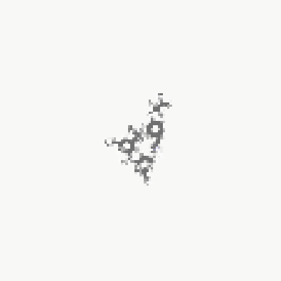 FC(F)C(F)(F)Oc1ccc(/C=N/Nc2cc(Nc3cc(C(F)(F)F)cc(Cl)n3)nc(Cl)n2)cc1